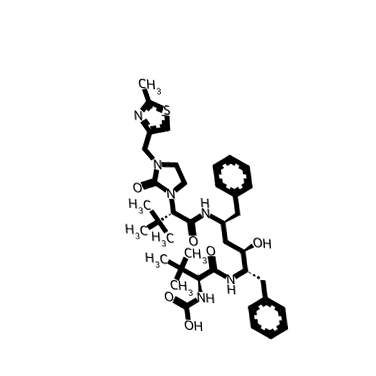 Cc1nc(CN2CCN([C@H](C(=O)N[C@@H](Cc3ccccc3)C[C@@H](O)[C@H](Cc3ccccc3)NC(=O)[C@@H](NC(=O)O)C(C)(C)C)C(C)(C)C)C2=O)cs1